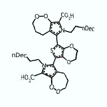 CCCCCCCCCCCCn1c(C(=O)O)c2c(c1-c1sc(-c3c4c(c(C(=O)O)n3CCCCCCCCCCCC)OOCCC4)c3c1OCCO3)CCCOO2